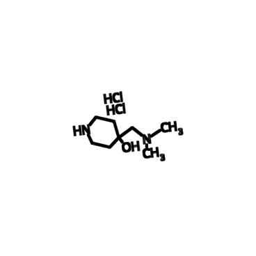 CN(C)CC1(O)CCNCC1.Cl.Cl